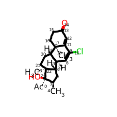 CC(=O)[C@@]1(O)[C@H](C)C[C@H]2[C@@H]3C=C(Cl)C4=CC(=O)CC[C@]4(C)[C@H]3CC[C@@]21C